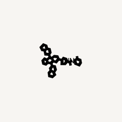 Cc1ccccc1NC(C)c1ccc(-c2ccc3c(-c4ccc5ccccc5c4)c4ccccc4c(-c4ccc5ccccc5c4)c3c2)cc1